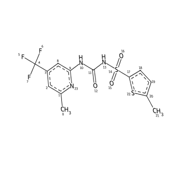 Cc1cc(C(F)(F)F)cc(NC(=O)NS(=O)(=O)c2ccc(C)s2)n1